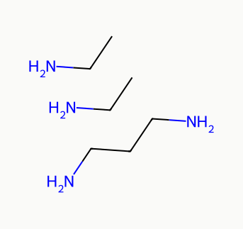 CCN.CCN.NCCCN